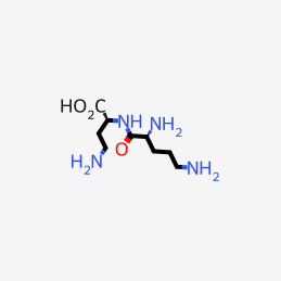 NCCC[C@H](N)C(=O)N[C@@H](CCN)C(=O)O